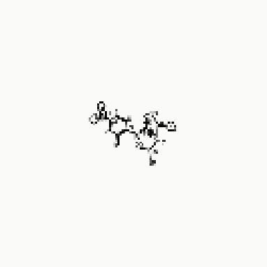 Cc1cc([N+](=O)[O-])ccc1N=C1SCC(=O)N1CC(C)C